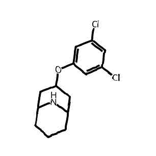 Clc1cc(Cl)cc(OC2CC3CCCC(C2)N3)c1